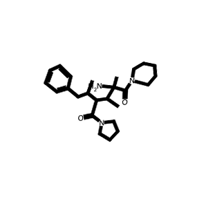 CC(Cc1ccccc1)C(C(=O)N1CCCC1)C(C)C(C)(N)C(=O)N1CCCCC1